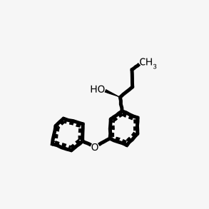 CCC[C@H](O)c1cccc(Oc2ccccc2)c1